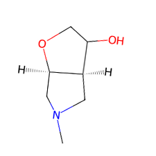 CN1C[C@@H]2C(O)CO[C@@H]2C1